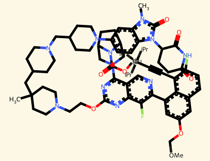 COCOc1cc(-c2ncc3c(N4CC5CCC(C4)N5C(=O)OC(C)(C)C)nc(OCCN4CCC(C)(CC5CCN(CC6CCN(c7ccc8c(c7)n(C)c(=O)n8C7CCC(=O)NC7=O)CC6)CC5)CC4)nc3c2F)c2c(C#C[Si](C(C)C)(C(C)C)C(C)C)c(F)ccc2c1